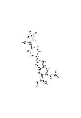 COC(=O)c1cc2sc(C3CCN(C(=O)OC(C)(C)C)CC3)nc2cc1OC(C)C